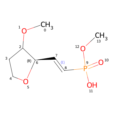 COC1CCO[C@@H]1/C=C/P(=O)(O)OC